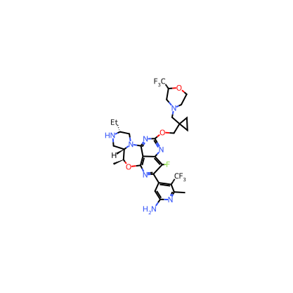 CC[C@@H]1CN2c3nc(OCC4(CN5CCOC(C(F)(F)F)C5)CC4)nc4c(F)c(-c5cc(N)nc(C)c5C(F)(F)F)nc(c34)O[C@@H](C)[C@@H]2CN1